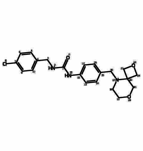 O=C(NCc1ccc(Cl)cc1)Nc1ccc(CN2CCOCC23COC3)cc1